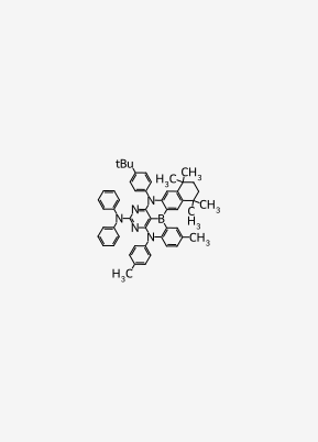 Cc1ccc(N2c3ccc(C)cc3B3c4cc5c(cc4N(c4ccc(C(C)(C)C)cc4)c4nc(N(c6ccccc6)c6ccccc6)nc2c43)C(C)(C)CCC5(C)C)cc1